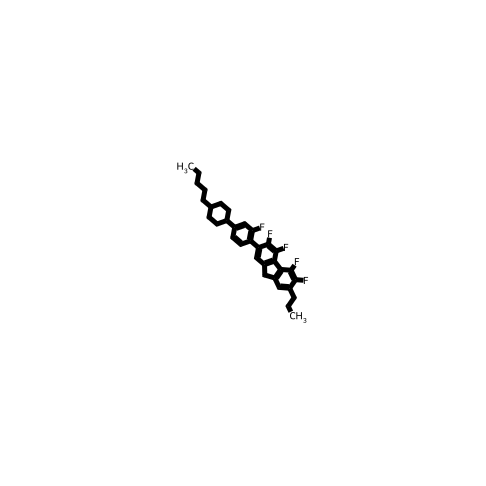 CCCCCC1CCC(c2ccc(-c3cc4c(c(F)c3F)-c3c(cc(CCC)c(F)c3F)C4)c(F)c2)CC1